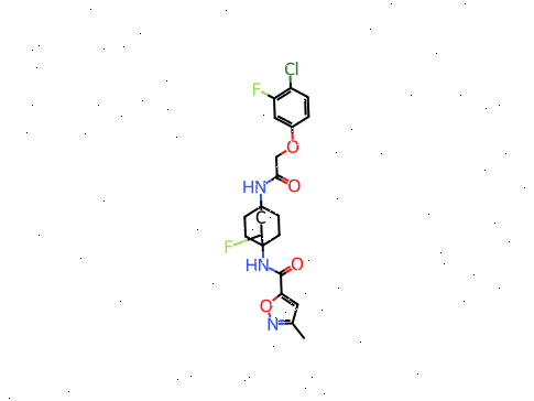 Cc1cc(C(=O)NC23CCC(NC(=O)COc4ccc(Cl)c(F)c4)(CC2)CC3F)on1